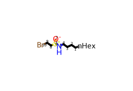 CCCCCCCCCCN[S+]([O-])CCBr